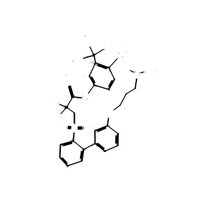 [C-]#[N+]c1ccc(NC(=O)C(C)(O)CS(=O)(=O)c2ccccc2-c2cccc(OCCCN(C)C)c2)cc1C(F)(F)F